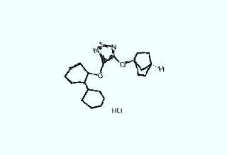 C1CCC(C2CCCCC2Oc2nsnc2O[C@]23CC[C@@H](CC2)C3)CC1.Cl